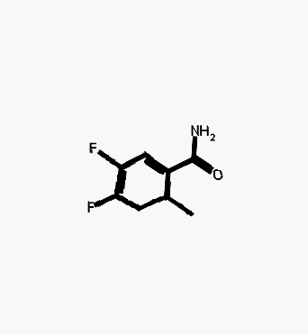 CC1CC(F)=C(F)C=C1C(N)=O